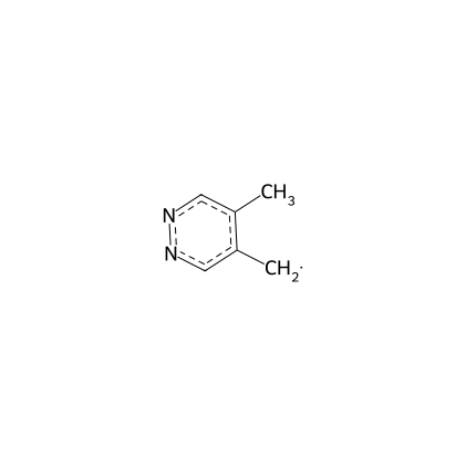 [CH2]c1cnncc1C